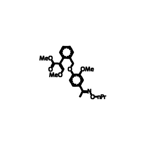 CCCON=C(C)c1ccc(OCc2ccccc2C(=COC)C(=O)OC)c(OC)c1